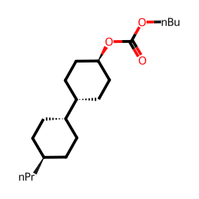 CCCCOC(=O)O[C@H]1CC[C@H]([C@H]2CC[C@H](CCC)CC2)CC1